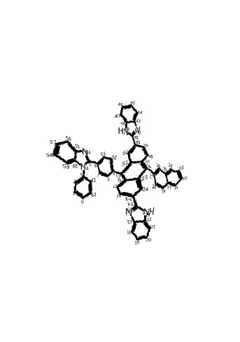 c1ccc(-n2c(-c3ccc(-c4c5ccc(-c6nc7ccccc7[nH]6)cc5c(-c5ccc6ccccc6c5)c5ccc(-c6nc7ccccc7[nH]6)cc45)cc3)nc3ccccc32)cc1